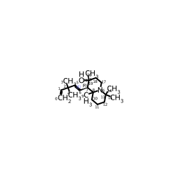 C=CC(C)(C)/C=C/[C@@H]1C2(C)CCCC(C)(C)N2CC[C@@]1(C)O